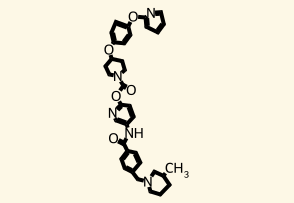 CC1CCCN(Cc2ccc(C(=O)Nc3ccc(OC(=O)N4CCC(Oc5ccc(Oc6ccccn6)cc5)CC4)nc3)cc2)C1